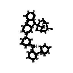 CC1C=C2CC3(C4c5ccccc5-c5ccc(-c6cccc(Nc7ccccc7-c7ccccc7)c6)cc54)CC(C1)CC23